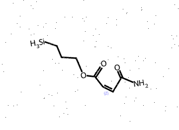 NC(=O)/C=C\C(=O)OCCC[SiH3]